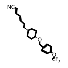 N#CC=CC=CCC[C@H]1CC[C@H](OCc2ccc(OC(F)(F)F)cc2)CC1